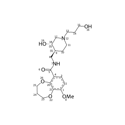 COc1ccc(C(=O)NC[C@@H]2CCN(CCCO)C[C@H]2O)c2c1OCCCO2